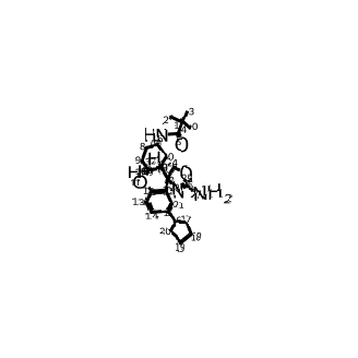 CC(C)(C)C(=O)N[C@H]1CC[C@H]2Oc3ccc(C4CCCC4)cc3C3(COC(N)=N3)[C@@H]2C1